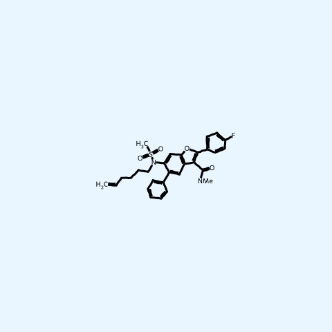 C=CCCCCN(c1cc2oc(-c3ccc(F)cc3)c(C(=O)NC)c2cc1-c1ccccc1)S(C)(=O)=O